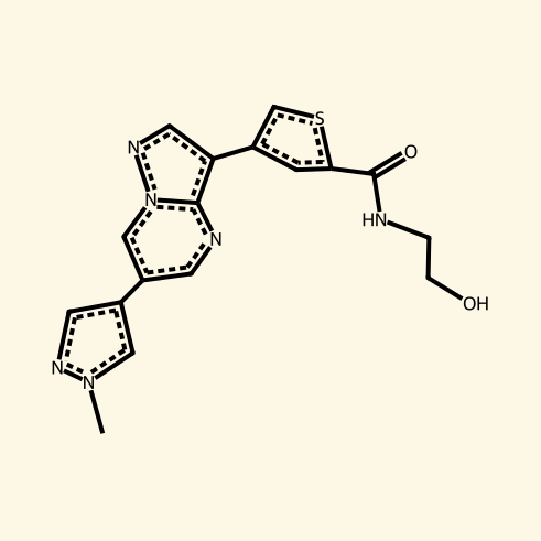 Cn1cc(-c2cnc3c(-c4csc(C(=O)NCCO)c4)cnn3c2)cn1